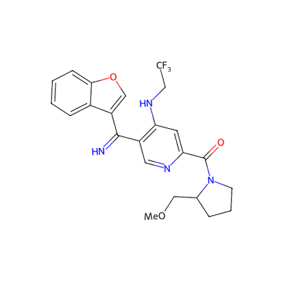 COCC1CCCN1C(=O)c1cc(NCC(F)(F)F)c(C(=N)c2coc3ccccc23)cn1